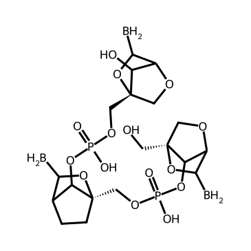 BC1O[C@@]2(COP(=O)(O)OC3C4OC[C@]3(CO)OC4B)CCC1C2OP(=O)(O)OC[C@@]12COC(C(B)O1)C2O